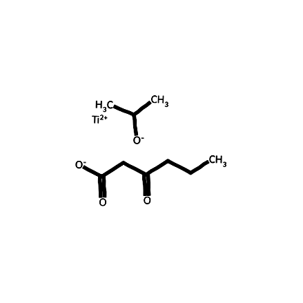 CC(C)[O-].CCCC(=O)CC(=O)[O-].[Ti+2]